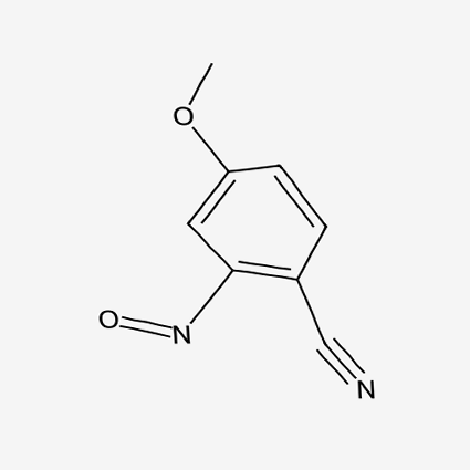 COc1ccc(C#N)c(N=O)c1